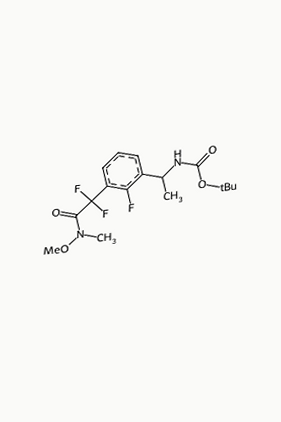 CON(C)C(=O)C(F)(F)c1cccc(C(C)NC(=O)OC(C)(C)C)c1F